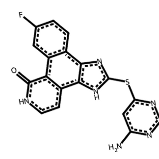 Nc1cc(Sc2nc3c4ccc(F)cc4c4c(=O)[nH]ccc4c3[nH]2)ncn1